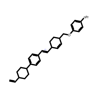 C=CC1CCC(c2ccc(/C=C/C3C=CC(COc4ccc(CCC)cc4)CC3)cc2)CC1